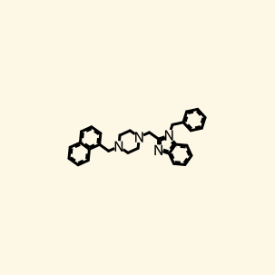 c1ccc(Cn2c(CN3CCN(Cc4cccc5ccccc45)CC3)nc3ccccc32)cc1